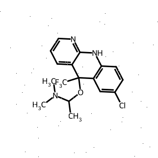 CC(OC1(C(F)(F)F)c2cc(Cl)ccc2Nc2ncccc21)N(C)C